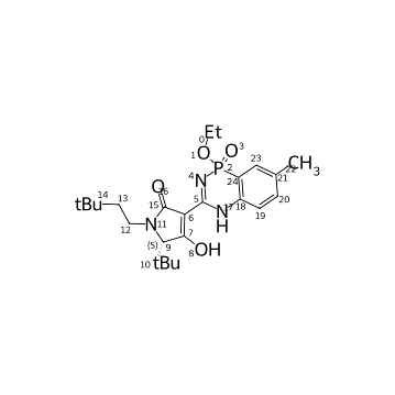 CCOP1(=O)N=C(C2=C(O)[C@H](C(C)(C)C)N(CCC(C)(C)C)C2=O)Nc2ccc(C)cc21